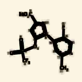 CCOC(=O)c1cc(OS(=O)(=O)C(F)(F)F)n(-c2cc(C)ccc2F)n1